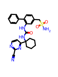 N#Cc1nccc(C2(NC(=O)Nc3cc(CS(N)(=O)=O)ccc3-c3ccccc3)CCCCC2)n1